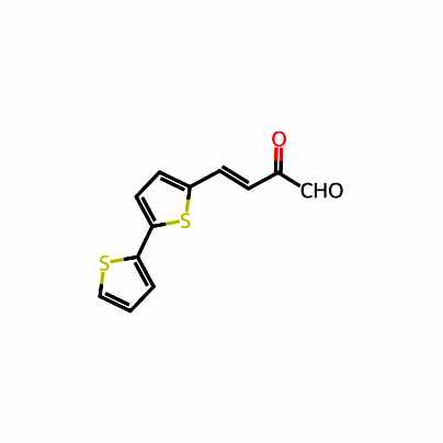 O=CC(=O)C=Cc1ccc(-c2cccs2)s1